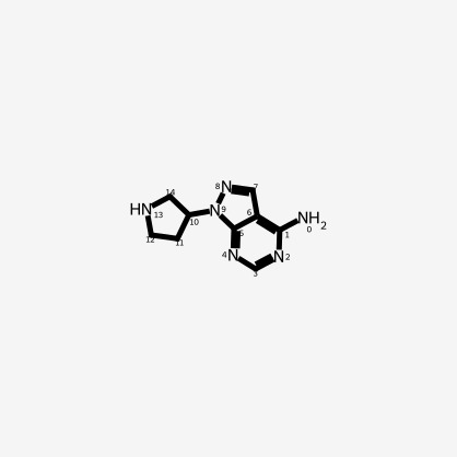 Nc1ncnc2c1cnn2C1CCNC1